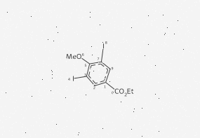 CCOC(=O)c1cc(I)c(OC)c(I)c1